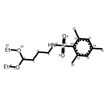 CCOC(CCCNS(=O)(=O)c1c(C)cc(C)cc1C)OCC